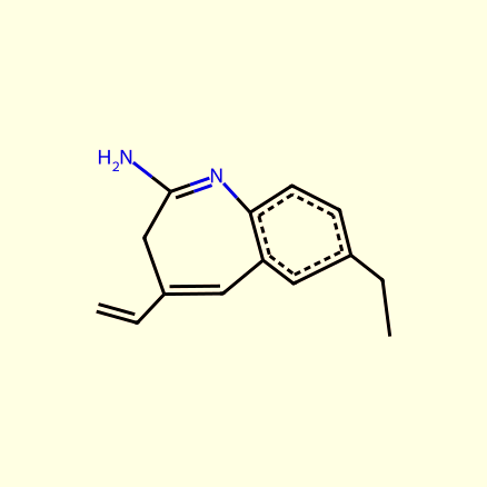 C=CC1=Cc2cc(CC)ccc2N=C(N)C1